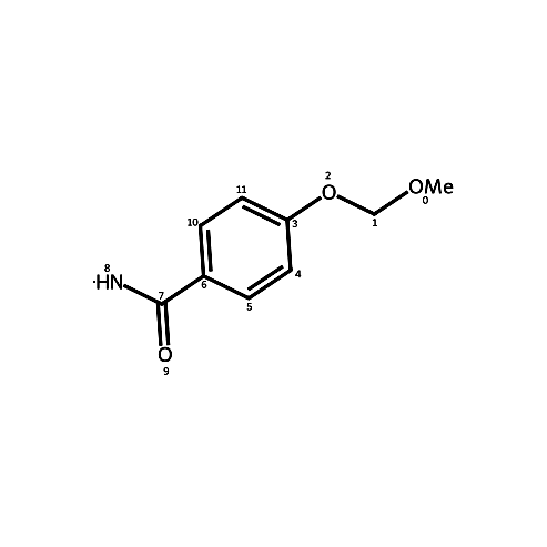 COCOc1ccc(C([NH])=O)cc1